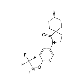 C=C1CCC2(CC1)CCN(c1ccc(O[C@H](C)C(F)(F)F)nc1)C2=O